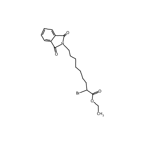 CCOC(=O)C(Br)CCCCCCCN1C(=O)c2ccccc2C1=O